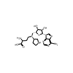 Nc1ncnc2c1ncn2[C@@H]1O[C@H](CN(CCC(N)C(=O)O)C2CCNC2)[C@@H](O)[C@H]1O